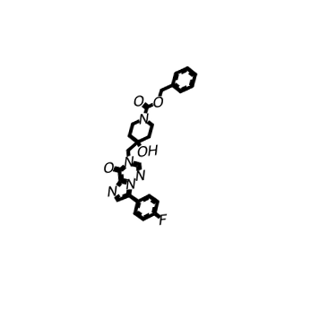 O=C(OCc1ccccc1)N1CCC(O)(Cn2cnn3c(-c4ccc(F)cc4)cnc3c2=O)CC1